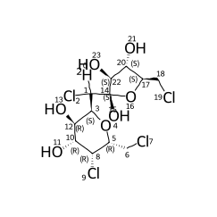 [2H]C(Cl)([C@H]1O[C@H](CCl)[C@H](Cl)[C@H](O)[C@H]1O)[C@@]1(O)O[C@H](CCl)[C@@H](O)[C@@H]1O